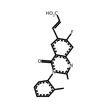 Cc1ccccc1-n1c(C)nc2cc(F)c(/C=C/C(=O)O)cc2c1=O